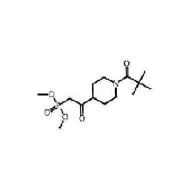 COP(=O)(CC(=O)C1CCN(C(=O)C(C)(C)C)CC1)OC